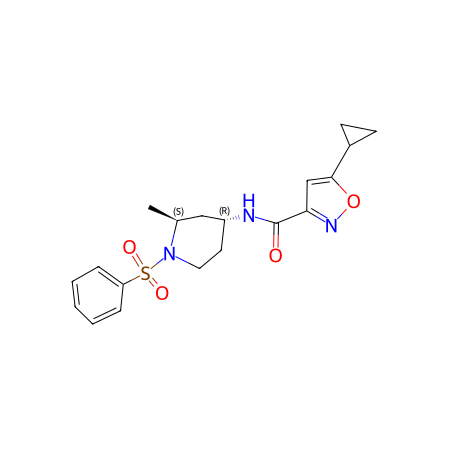 C[C@H]1C[C@H](NC(=O)c2cc(C3CC3)on2)CCN1S(=O)(=O)c1ccccc1